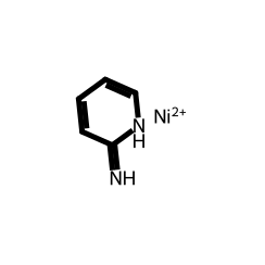 N=c1cccc[nH]1.[Ni+2]